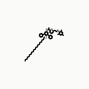 CCCCCCCCCCCCCCCCCCCCOc1c(-c2ccccc2)cc(N=C(C)c2cccc(CC=Nc3c(C)cc(C)cc3C)n2)cc1-c1ccccc1